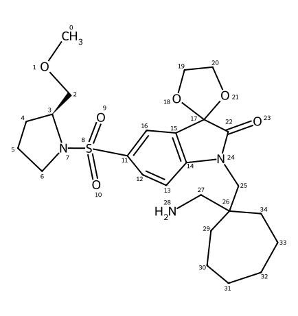 COC[C@@H]1CCCN1S(=O)(=O)c1ccc2c(c1)C1(OCCO1)C(=O)N2CC1(CN)CCCCCC1